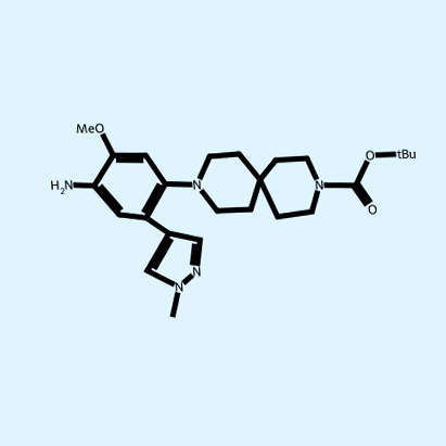 COc1cc(N2CCC3(CCN(C(=O)OC(C)(C)C)CC3)CC2)c(-c2cnn(C)c2)cc1N